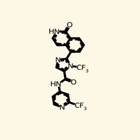 O=C(Nc1ccnc(C(F)(F)F)c1)c1cnc(-c2cccc3c(=O)[nH]ccc23)n1C(F)(F)F